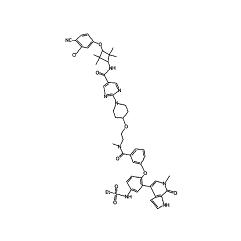 CCS(=O)(=O)Nc1ccc(Oc2cccc(C(=O)N(C)CCOC3CCN(c4ncc(C(=O)NC5C(C)(C)C(Oc6ccc(C#N)c(Cl)c6)C5(C)C)cn4)CC3)c2)c(-c2cn(C)c(=O)c3[nH]ccc23)c1